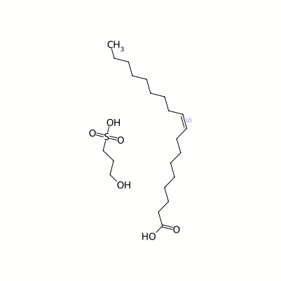 CCCCCCCC/C=C\CCCCCCCC(=O)O.O=S(=O)(O)CCCO